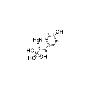 Nc1cc(O)ccc1CCC(O)(O)O